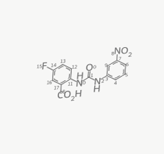 O=C(Nc1cccc([N+](=O)[O-])c1)Nc1ccc(F)cc1C(=O)O